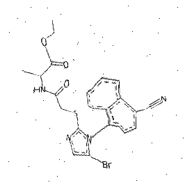 CCOC(=O)C(C)NC(=O)CSc1ncc(Br)n1-c1ccc(C#N)c2ccccc12